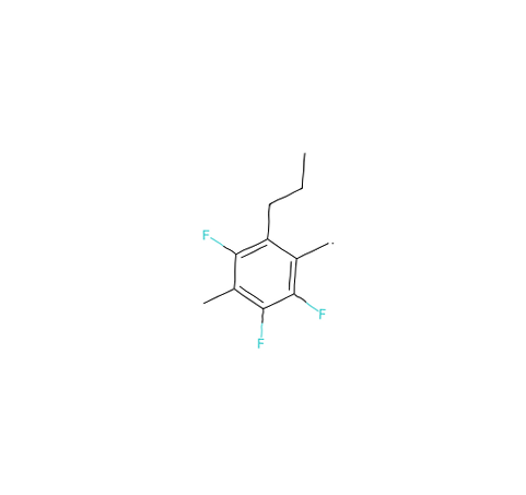 [CH2]c1c(F)c(F)c(C)c(F)c1CCC